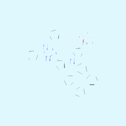 CC1(C)OB(c2ccc3c(c2)c2ccc4c(c2n3-c2cccc(-c3nc(-c5ccccc5)nc(-c5ccccc5)n3)c2)-c2ccccc2C42c3ccccc3-c3ccccc32)OC1(C)C